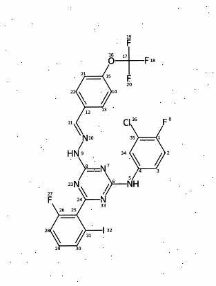 Fc1ccc(Nc2nc(N/N=C/c3ccc(OC(F)(F)F)cc3)nc(-c3c(F)cccc3I)n2)cc1Cl